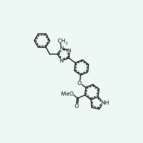 COC(=O)c1c(Oc2cccc(-c3nc(Cc4ccccc4)n(C)n3)c2)ccc2[nH]ccc12